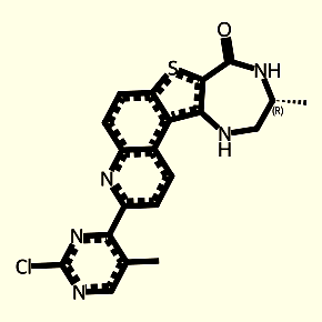 Cc1cnc(Cl)nc1-c1ccc2c(ccc3sc4c(c32)NC[C@@H](C)NC4=O)n1